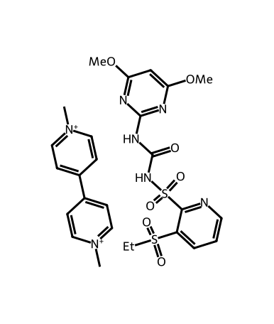 CCS(=O)(=O)c1cccnc1S(=O)(=O)NC(=O)Nc1nc(OC)cc(OC)n1.C[n+]1ccc(-c2cc[n+](C)cc2)cc1